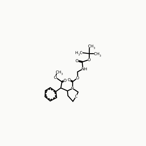 COC(=O)C(c1ccccc1)C1CCCCN1C(=O)OCNC(=O)OC(C)(C)C